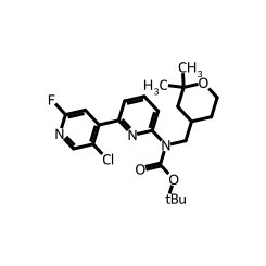 CC(C)(C)OC(=O)N(CC1CCOC(C)(C)C1)c1cccc(-c2cc(F)ncc2Cl)n1